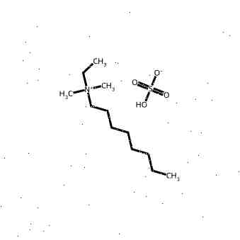 CCCCCCCC[N+](C)(C)CC.O=S(=O)([O-])O